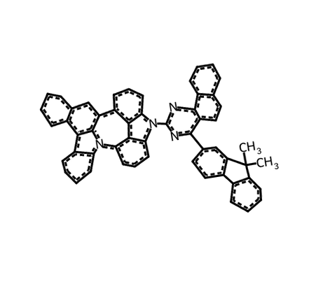 CC1(C)c2ccccc2-c2ccc(-c3nc(-n4c5cccc6c7cc8ccccc8c8c9ccccc9n(c9cccc4c9c65)c78)nc4c3ccc3ccccc34)cc21